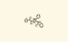 O=C(Nc1nc(NC(=O)c2cccs2)nn1-c1ccccc1)c1ccccc1